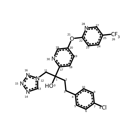 OC(CCc1ccc(Cl)cc1)(Cn1cnnn1)c1ccc(Oc2ccc(C(F)(F)F)cn2)cn1